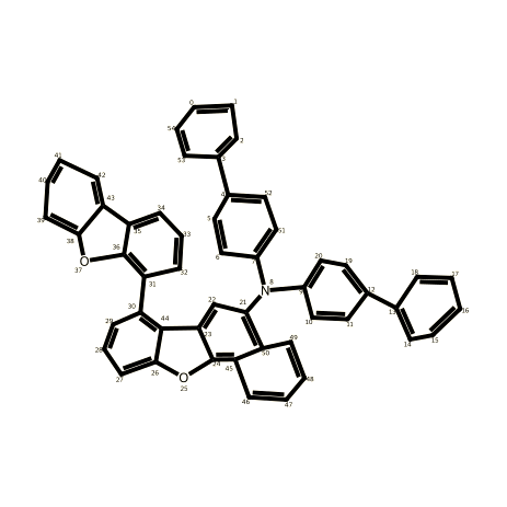 c1ccc(-c2ccc(N(c3ccc(-c4ccccc4)cc3)c3cc4c(oc5cccc(-c6cccc7c6oc6ccccc67)c54)c4ccccc34)cc2)cc1